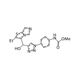 CCc1sc2cncn2c1C(O)c1cn(-c2ccc(NC(=O)OC)cc2)nn1